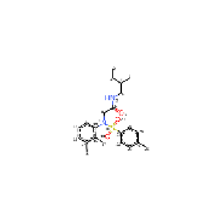 CCC(C)CNC(=O)CN(c1cccc(C)c1C)S(=O)(=O)c1ccc(C)cc1